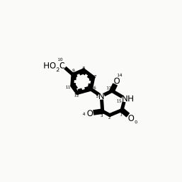 O=C1CC(=O)N(c2ccc(C(=O)O)cc2)C(=O)N1